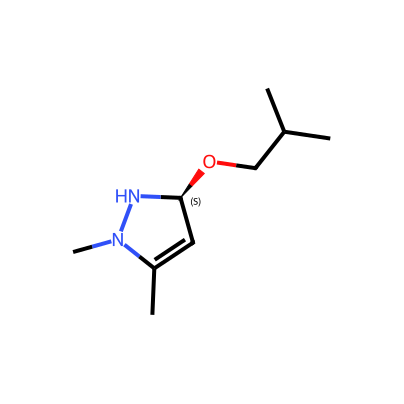 CC1=C[C@H](OCC(C)C)NN1C